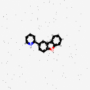 c1ccc(-c2ccc3oc4ccccc4c3c2)nc1